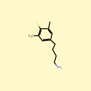 Cc1cc(CCCCN)cc(C(F)(F)F)c1F